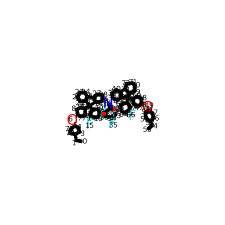 C=Cc1ccc(Oc2ccc(C3(c4cc(F)cc(F)c4)c4ccccc4-c4ccc(N(c5ccc(F)cc5)c5ccc6c(c5)C(c5ccc(Oc7ccc(C=C)cc7)cc5)(c5cc(F)cc(F)c5)c5ccccc5-6)cc43)cc2)cc1